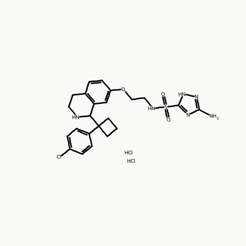 Cl.Cl.Nc1n[nH]c(S(=O)(=O)NCCOc2ccc3c(c2)C(C2(c4ccc(Cl)cc4)CCC2)NCC3)n1